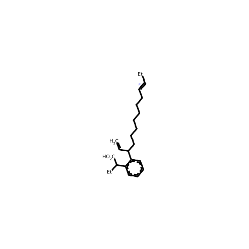 C=CC(CCCCCCC/C=C/CC)c1ccccc1C(CC)C(=O)O